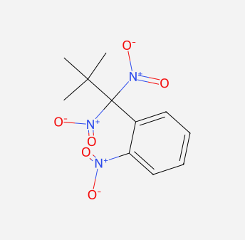 CC(C)(C)C(c1ccccc1[N+](=O)[O-])([N+](=O)[O-])[N+](=O)[O-]